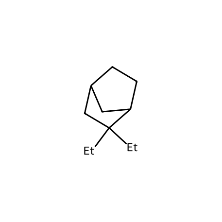 CCC1(CC)CC2CCC1C2